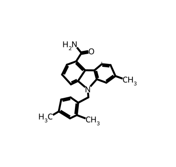 Cc1ccc(Cn2c3cc(C)c[c]c3c3c(C(N)=O)cccc32)c(C)c1